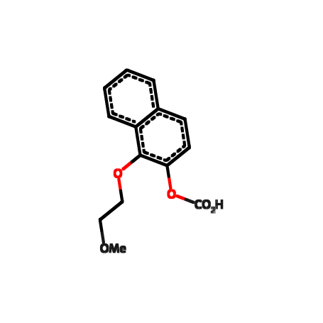 COCCOc1c(OC(=O)O)ccc2ccccc12